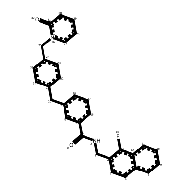 O=C(NCc1ccc2ccccc2c1F)c1cccc(Cc2ccc(Cn3ccccc3=O)cc2)c1